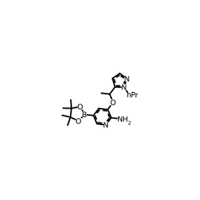 CCCn1nccc1C(C)Oc1cc(B2OC(C)(C)C(C)(C)O2)cnc1N